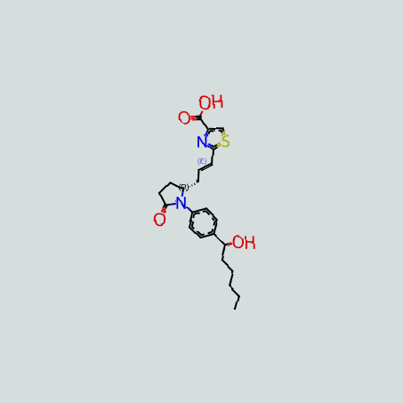 CCCCCC(O)c1ccc(N2C(=O)CC[C@@H]2C/C=C/c2nc(C(=O)O)cs2)cc1